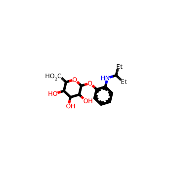 CCC(CC)Nc1ccccc1OC1OC(C(=O)O)C(O)C(O)C1O